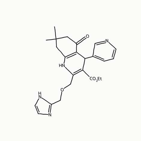 CCOC(=O)C1=C(COCc2ncc[nH]2)NC2=C(C(=O)CC(C)(C)C2)C1c1cccnc1